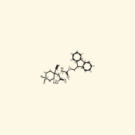 C#CC1([C@H](NC(=O)OCC2c3ccccc3-c3ccccc32)C(=O)O)CC[N+](C)(C)CC1